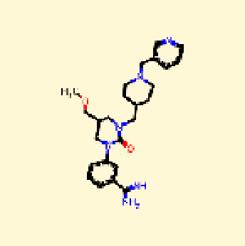 COCC1CN(CC2CCN(Cc3cccnc3)CC2)C(=O)N(c2cccc(C(=N)N)c2)C1